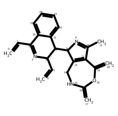 C=CC1=NC(C=C)C(C2N=C(C)C3=C2CNC(=C)OC3=C)c2ccccc21